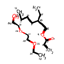 C=CC(=O)OCC(CC)CCCC.CCOCCOCCO